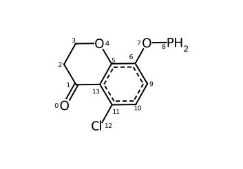 O=C1CCOc2c(OP)ccc(Cl)c21